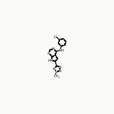 Cn1nnc(-c2cc3c(Nc4cccc(Cl)c4)ncnc3[nH]2)n1